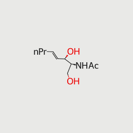 CCC/C=C/[C@@H](O)[C@H](CO)NC(C)=O